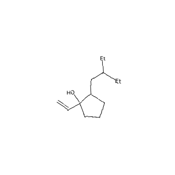 C=CC1(O)CCCC1CC(CC)CC